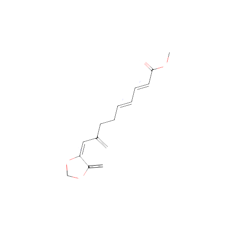 C=C(/C=C1/OCOC1=C)CC/C=C/C=C/C(=O)OC